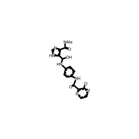 CNC(=O)c1nc[nH]c1C(O)Nc1ccc(NC(=O)c2nccnc2Cl)cc1